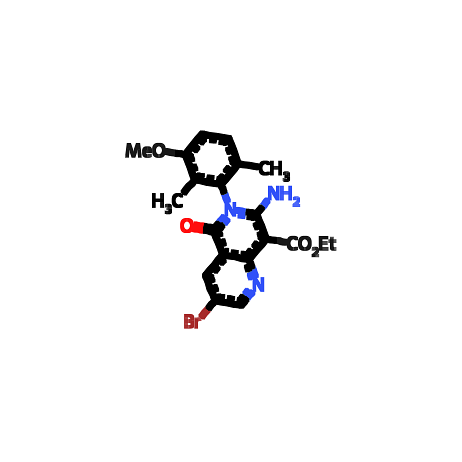 CCOC(=O)c1c(N)n(-c2c(C)ccc(OC)c2C)c(=O)c2cc(Br)cnc12